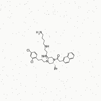 CC(C)C[C@@H]1CN(C[C@@H](N)Cc2ccc(Cl)cc2Cl)[C@@H](CCCNCCCCN)CN1C(=O)Cc1ccc2ccccc2c1